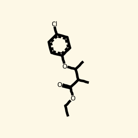 CCOC(=O)C(C)C(C)Oc1ccc(Cl)cc1